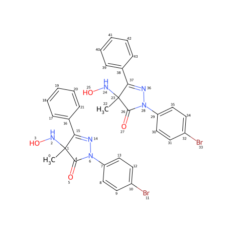 CC1(NO)C(=O)N(c2ccc(Br)cc2)N=C1c1ccccc1.CC1(NO)C(=O)N(c2ccc(Br)cc2)N=C1c1ccccc1